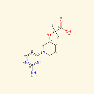 CC(C)(O[C@@H]1CCCN(c2ccnc(N)n2)C1)C(=O)O